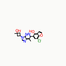 Cc1c(-c2cc(Cl)c3occc3c2O)nnc2c1ncn2C1CC(C)(O)C1